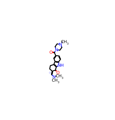 CN(C)/C=C1/CCc2c([nH]c3ccc(C(=O)N4CCN(C)CC4)cc23)C1=O